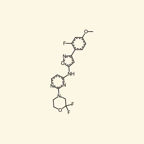 COc1ccc(-c2cc(Nc3ccnc(N4CCOC(F)(F)C4)n3)on2)c(F)c1